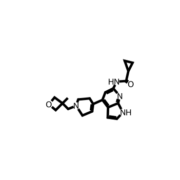 CC1(CN2CC=C(c3cc(NC(=O)C4CC4)nc4[nH]ccc34)CC2)COC1